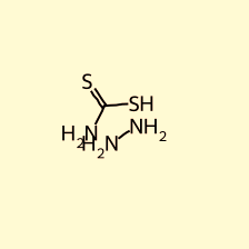 NC(=S)S.NN